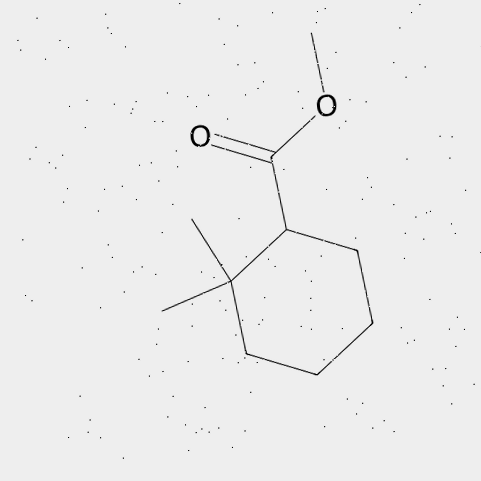 COC(=O)C1CCCCC1(C)C